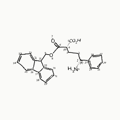 N[C@H](CC[C@@H](C(=O)O)C(=O)OCC1c2ccccc2-c2ccccc21)c1ccccc1